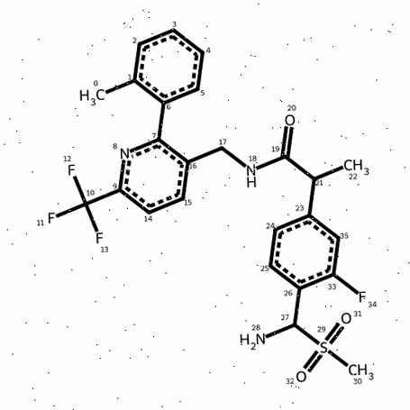 Cc1ccccc1-c1nc(C(F)(F)F)ccc1CNC(=O)C(C)c1ccc(C(N)S(C)(=O)=O)c(F)c1